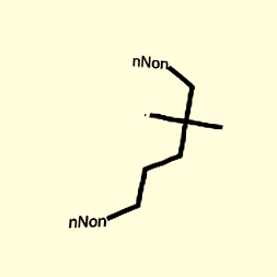 [CH2]C(C)(CCCCCCCCCC)CCCCCCCCCCCC